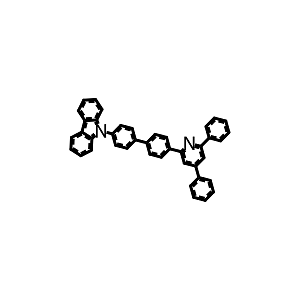 c1ccc(-c2cc(-c3ccccc3)nc(-c3ccc(-c4ccc(-n5c6ccccc6c6ccccc65)cc4)cc3)c2)cc1